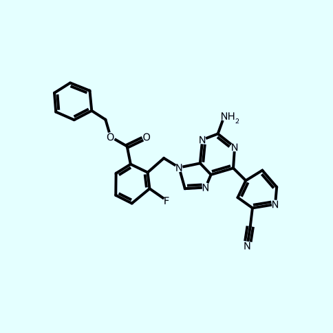 N#Cc1cc(-c2nc(N)nc3c2ncn3Cc2c(F)cccc2C(=O)OCc2ccccc2)ccn1